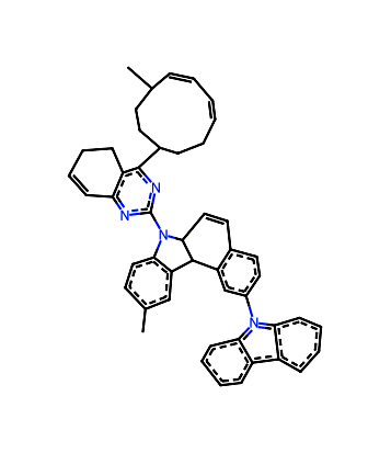 Cc1ccc2c(c1)C1c3cc(-n4c5ccccc5c5ccccc54)ccc3C=CC1N2c1nc2c(c(C3CC/C=C\C=C/C(C)CC3)n1)CCC=C2